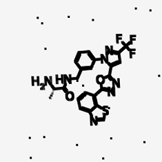 C[C@H](N)C(=O)NCc1cccc(-n2nc(C(F)(F)F)cc2-c2nnc(-c3cccc4ncsc34)o2)c1